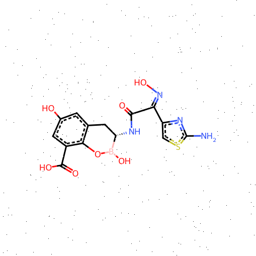 Nc1nc(/C(=N/O)C(=O)N[C@H]2Cc3cc(O)cc(C(=O)O)c3OB2O)cs1